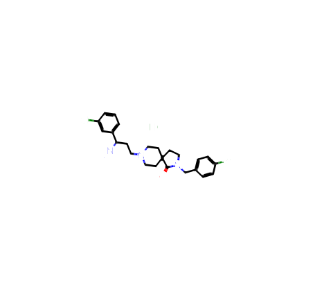 Cl.NC(CCN1CCC2(CC1)CCN(Cc1ccc(Br)cc1)C2=O)c1cccc(Cl)c1